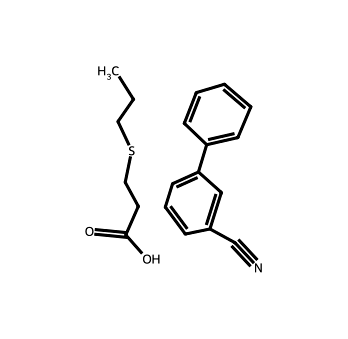 CCCSCCC(=O)O.N#Cc1cccc(-c2ccccc2)c1